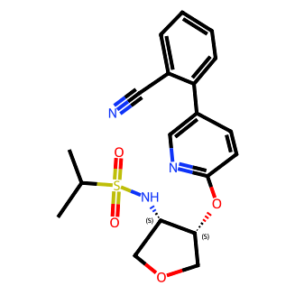 CC(C)S(=O)(=O)N[C@H]1COC[C@H]1Oc1ccc(-c2ccccc2C#N)cn1